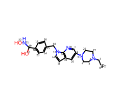 CC(C)CN1CCN(c2cnc3c(ccn3Cc3ccc(C(O)NO)cc3)c2)CC1